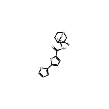 O=C(N[C@H]1CN2CCC1CC2)c1ccc(-c2ccc[nH]2)s1